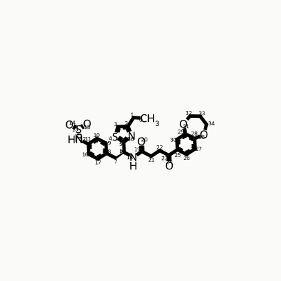 CCc1csc([C@H](Cc2ccc(N[SH](=O)=O)cc2)NC(=O)CCC(=O)c2ccc3c(c2)OCCCO3)n1